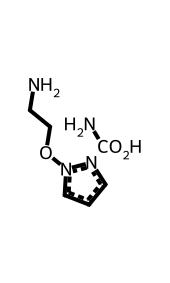 NC(=O)O.NCCOn1cccn1